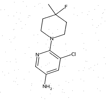 CC1(F)CCN(c2ncc(N)cc2Cl)CC1